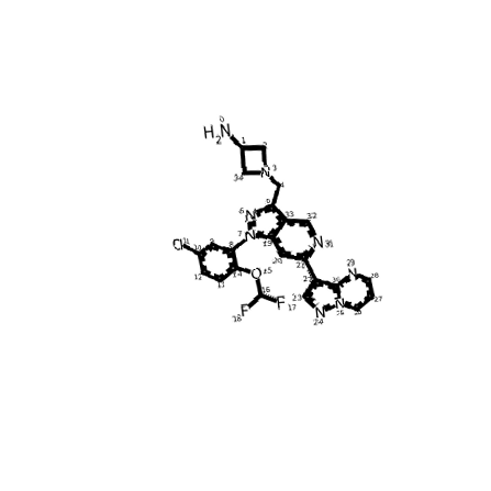 NC1CN(Cc2nn(-c3cc(Cl)ccc3OC(F)F)c3cc(-c4cnn5cccnc45)ncc23)C1